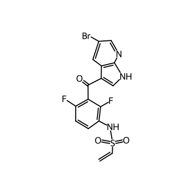 C=CS(=O)(=O)Nc1ccc(F)c(C(=O)c2c[nH]c3ncc(Br)cc23)c1F